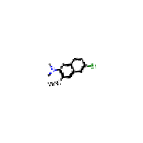 COc1cc2cc(Br)ccc2cc1N(C)C